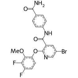 COc1c(Oc2ncc(Br)cc2C(=O)Nc2ccc(C(N)=O)cc2)ccc(F)c1F